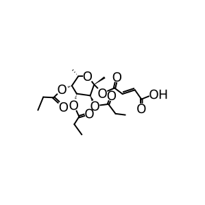 CCC(=O)O[C@@H]1[C@H](OC(=O)CC)[C@H](C)O[C@](C)(OC(=O)/C=C/C(=O)O)[C@H]1OC(=O)CC